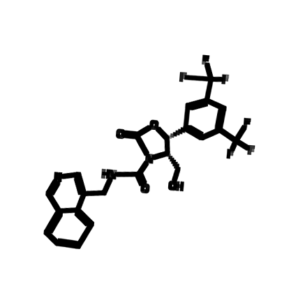 O=C(NCc1cncc2ccccc12)N1C(=O)O[C@H](c2cc(C(F)(F)F)cc(C(F)(F)F)c2)[C@@H]1CO